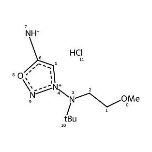 COCCN([n+]1cc([NH-])on1)C(C)(C)C.Cl